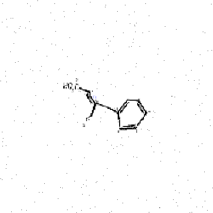 O=C(O)/C=C(\F)c1ccccc1